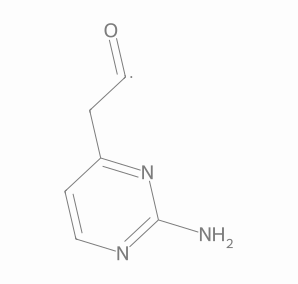 Nc1nccc(C[C]=O)n1